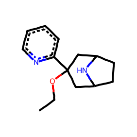 CCOC1(c2ccccn2)CC2CCC(C1)N2